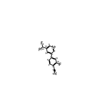 N#Cc1ccc(-c2cncc(C(F)F)c2)cc1F